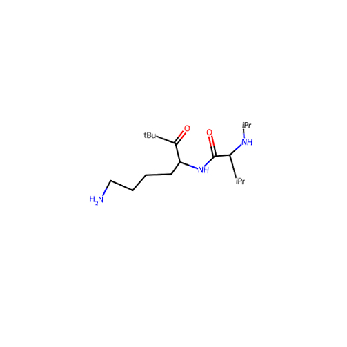 CC(C)NC(C(=O)NC(CCCCN)C(=O)C(C)(C)C)C(C)C